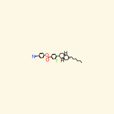 CCCCCC[C@H]1CC[C@@H]2CC(c3ccc(C(=O)Oc4ccc(C#N)cc4)cc3F)CC[C@H]2C1